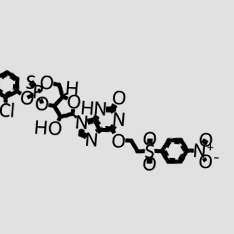 O=c1nc(OCCS(=O)(=O)c2ccc([N+](=O)[O-])cc2)c2ncn([C@@H]3O[C@@H]4COP(=S)(Oc5ccccc5Cl)OC4C3O)c2[nH]1